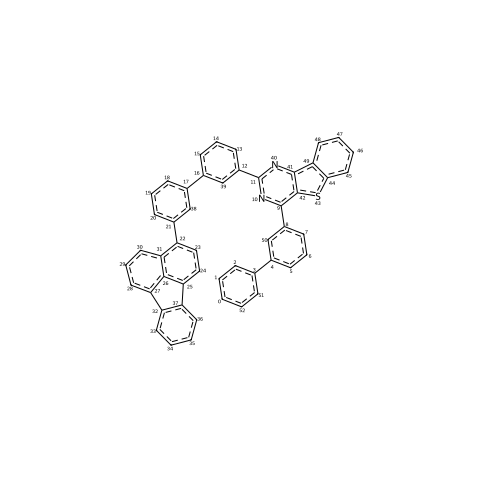 c1ccc(-c2cccc(-c3nc(-c4cccc(-c5cccc(-c6ccc7c8c(cccc68)-c6ccccc6-7)c5)c4)nc4c3sc3ccccc34)c2)cc1